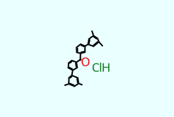 Cc1cc(C)cc(-c2cccc(C(=O)c3cccc(-c4cc(C)cc(C)c4)c3)c2)c1.Cl